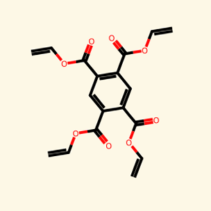 C=COC(=O)c1cc(C(=O)OC=C)c(C(=O)OC=C)cc1C(=O)OC=C